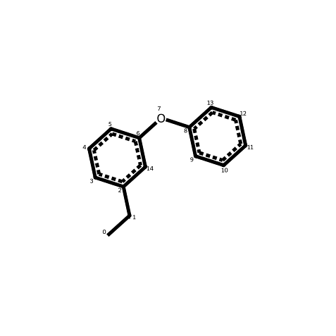 C[CH]c1cccc(Oc2ccccc2)c1